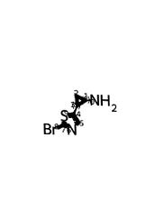 N[C@H]1C[C@@H]1c1cnc(Br)s1